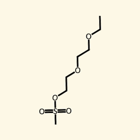 CCOCCOCCOS(C)(=O)=O